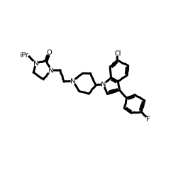 CC(C)N1CCN(CCN2CCC(n3cc(-c4ccc(F)cc4)c4ccc(Cl)cc43)CC2)C1=O